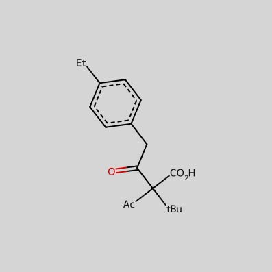 CCc1ccc(CC(=O)C(C(C)=O)(C(=O)O)C(C)(C)C)cc1